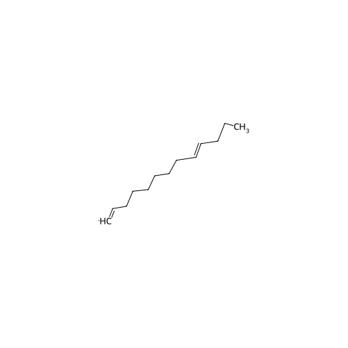 [CH]=CCCCCCCC=CCCC